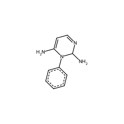 NC1=CC=NC(N)N1c1ccccc1